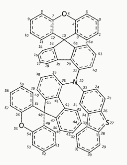 c1ccc2c(c1)Oc1ccccc1C21c2ccccc2-c2c(N(c3ccc4sc5ccccc5c4c3)c3cccc4c3-c3ccccc3C43c4ccccc4Oc4ccccc43)cccc21